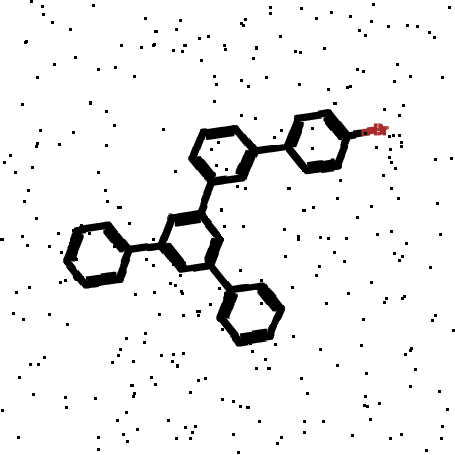 Brc1ccc(-c2cccc(-c3cc(-c4ccccc4)cc(-c4ccccc4)c3)c2)cc1